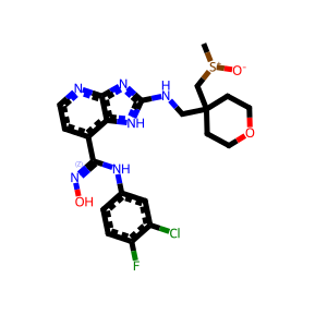 C[S+]([O-])CC1(CNc2nc3nccc(/C(=N/O)Nc4ccc(F)c(Cl)c4)c3[nH]2)CCOCC1